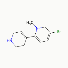 CN1CC(Br)=CC=C1C1=CCNCC1